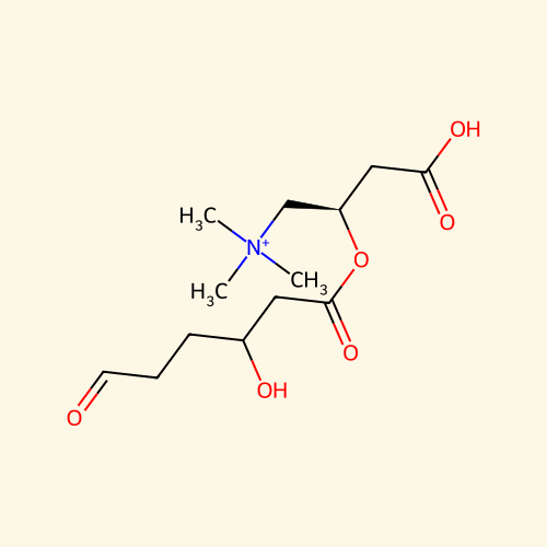 C[N+](C)(C)C[C@@H](CC(=O)O)OC(=O)CC(O)CCC=O